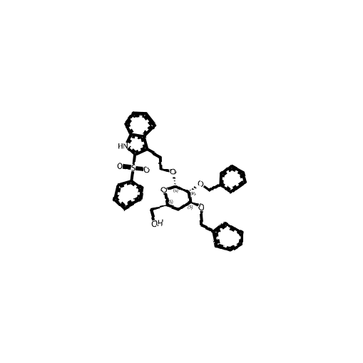 O=S(=O)(c1ccccc1)c1[nH]c2ccccc2c1CCO[C@H]1O[C@H](CO)C[C@H](OCc2ccccc2)[C@H]1OCc1ccccc1